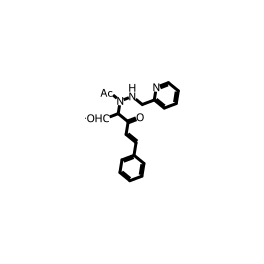 CC(=O)N(NCc1ccccn1)C([C]=O)C(=O)C=Cc1ccccc1